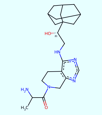 CC(N)C(=O)N1CCc2c(ncnc2NC[C@H](O)C23CC4CC(CC(C4)C2)C3)C1